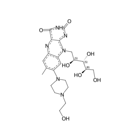 Cc1cc2nc3c(=O)[nH]c(=O)nc-3n(C[C@H](O)[C@H](O)[C@H](O)CO)c2cc1N1CCN(CCO)CC1